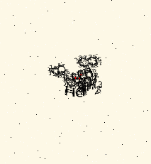 CC1=Cc2c(-c3cccc4ccccc34)cccc2[CH]1[Ti]([CH3])([CH3])(=[SiH2])[CH]1C(C)=Cc2c(-c3cccc4ccccc34)cccc21.Cl.Cl